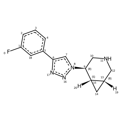 Fc1cccc(-c2cn([C@H]3CNC[C@@H]4C[C@@H]43)nn2)c1